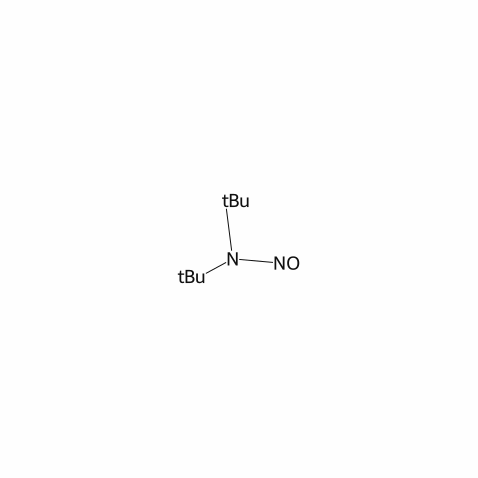 CC(C)(C)N(N=O)C(C)(C)C